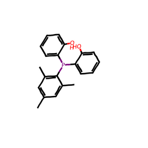 Cc1cc(C)c(P(c2ccccc2O)c2ccccc2O)c(C)c1